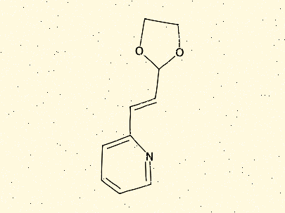 C(=CC1OCCO1)c1ccccn1